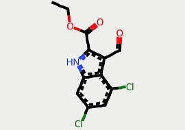 CCOC(=O)c1[nH]c2cc(Cl)cc(Cl)c2c1C=O